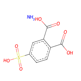 N.O=C(O)c1ccc(S(=O)(=O)O)cc1C(=O)O